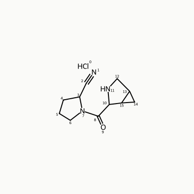 Cl.N#CC1CCCN1C(=O)C1NCC2CC21